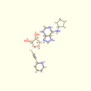 O[C@@H]1[C@H](O)[C@@H](CC#Cc2ccccn2)O[C@H]1n1cnc2c(NC3CCCC3)ncnc21